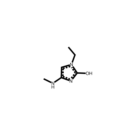 CCn1cc(NC)nc1O